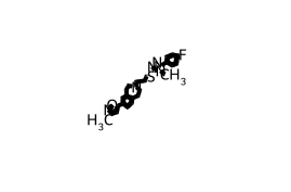 Cc1cc(-c2ccc3c(c2)CCN(CCCSc2nnc(-c4ccc(F)cc4)n2C)CC3)on1